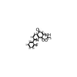 CC(=O)NC1=CC(=O)c2ccc(-c3ccccc3F)nc2C1=O